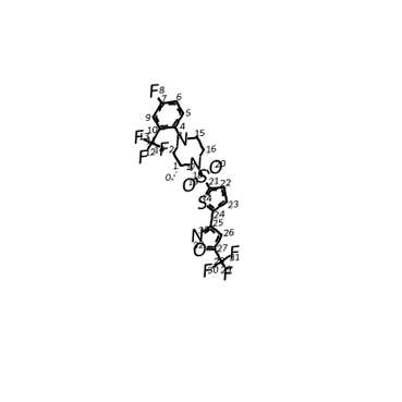 C[C@@H]1CN(c2ccc(F)cc2C(F)(F)F)CCN1S(=O)(=O)c1ccc(-c2cc(C(F)(F)F)on2)s1